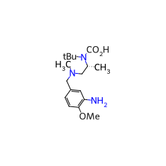 COc1ccc(CN(C)C[C@@H](C)N(C(=O)O)C(C)(C)C)cc1N